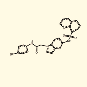 N#Cc1ccc(NC(=O)Cn2ccc3cc(NS(=O)(=O)c4cccc5cccnc45)ccc32)cc1